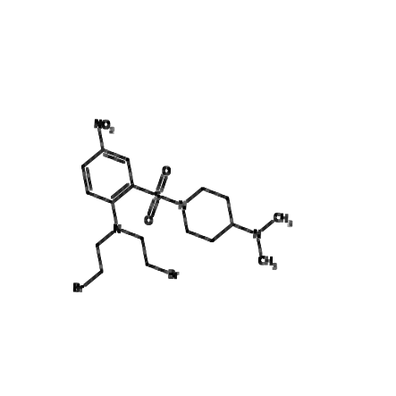 CN(C)C1CCN(S(=O)(=O)c2cc([N+](=O)[O-])ccc2N(CCBr)CCBr)CC1